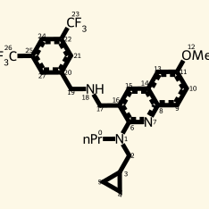 CCCN(CC1CC1)c1nc2ccc(OC)cc2cc1CNCc1cc(C(F)(F)F)cc(C(F)(F)F)c1